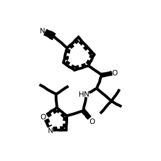 CC(C)c1oncc1C(=O)NC(C(=O)c1ccc(C#N)cc1)C(C)(C)C